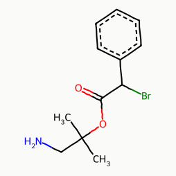 CC(C)(CN)OC(=O)C(Br)c1ccccc1